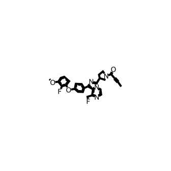 CC#CC(=O)N1CCC(c2nc(-c3ccc(Oc4cccc(OC)c4F)cc3)c3c(CF)nccn23)C1